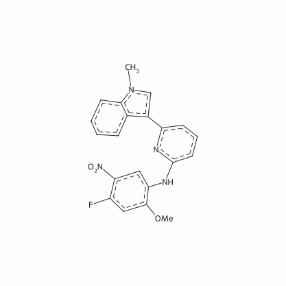 COc1cc(F)c([N+](=O)[O-])cc1Nc1cccc(-c2cn(C)c3ccccc23)n1